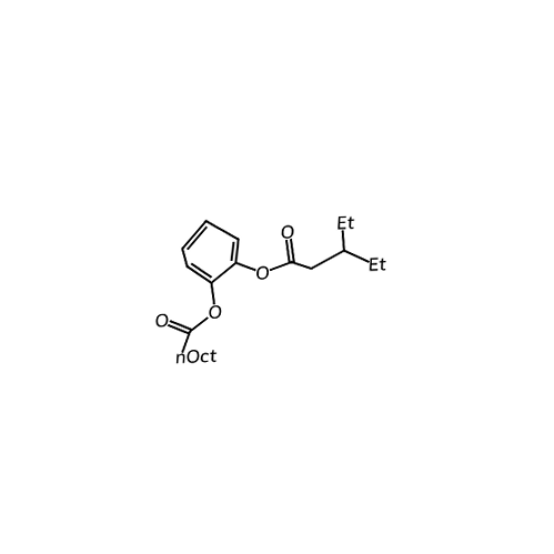 CCCCCCCCC(=O)Oc1ccccc1OC(=O)CC(CC)CC